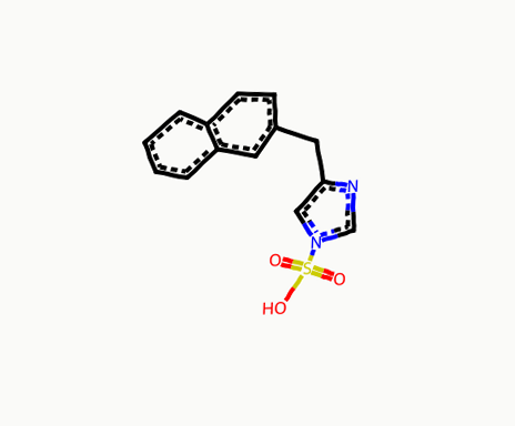 O=S(=O)(O)n1cnc(Cc2ccc3ccccc3c2)c1